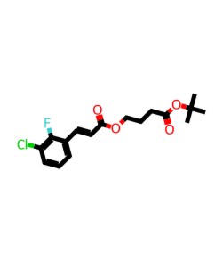 CC(C)(C)OC(=O)CCCOC(=O)/C=C/c1cccc(Cl)c1F